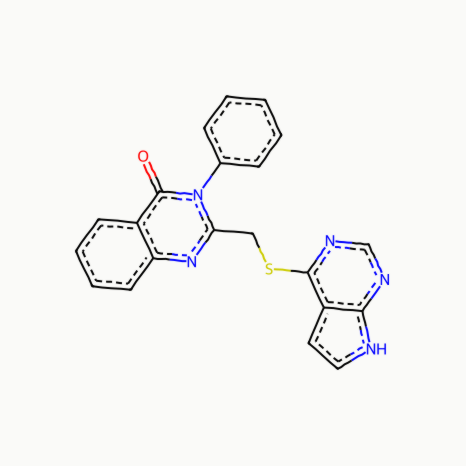 O=c1c2ccccc2nc(CSc2ncnc3[nH]ccc23)n1-c1ccccc1